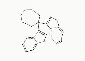 C1=C(C2(C3=CCc4ccccc43)CCCCCC2)c2ccccc2C1